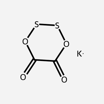 O=C1OSSOC1=O.[K]